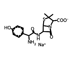 CC1(C)SC2C(NC(=O)C(N)c3ccc(O)cc3)C(=O)N2C1C(=O)[O-].[Na+]